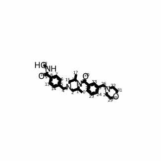 CC1CN(Cc2ccc(C(=O)NO)cc2)CC(C)N1C(=O)c1cccc(CN2CCOCC2)c1